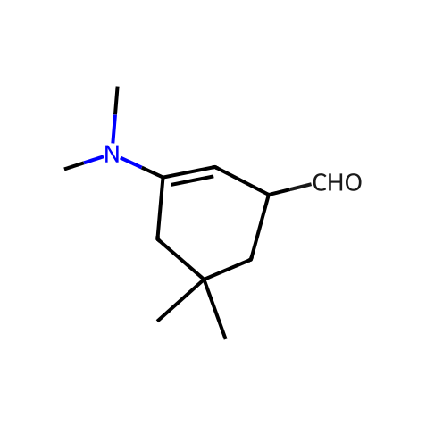 CN(C)C1=CC(C=O)CC(C)(C)C1